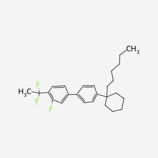 CCCCCCC1(c2ccc(-c3ccc(C(C)(F)F)c(F)c3)cc2)CCCCC1